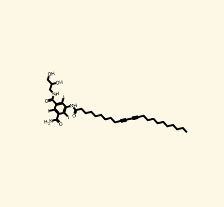 CCCCCCCCCCC#CC#CCCCCCCCCC(=O)Nc1c(I)c(C(N)=O)c(I)c(C(=O)NCC(O)CO)c1I